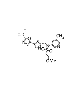 COCCS(=O)(=O)N(Cc1ncc(-c2nnc(C(F)F)o2)s1)c1cncc(C)c1